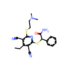 CCc1c(C#N)c(SCCN(C)C)nc(SC(C(N)=O)c2ccccc2)c1C#N